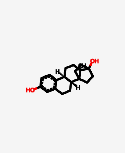 C[C@]12CC[C@@H]3c4ccc(O)cc4CC[C@H]3C13CCC2(O)CC3